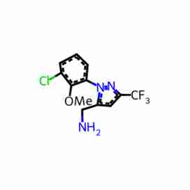 COc1c(Cl)cccc1-n1nc(C(F)(F)F)cc1CN